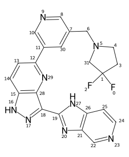 FC1(F)CCN(Cc2cncc(-c3ccc4[nH]nc(-c5nc6cnccc6[nH]5)c4n3)c2)C1